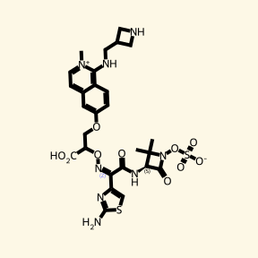 C[n+]1ccc2cc(OCC(O/N=C(\C(=O)N[C@@H]3C(=O)N(OS(=O)(=O)[O-])C3(C)C)c3csc(N)n3)C(=O)O)ccc2c1NCC1CNC1